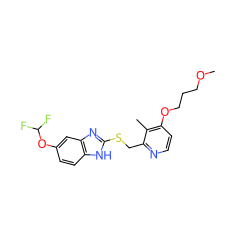 COCCCOc1ccnc(CSc2nc3cc(OC(F)F)ccc3[nH]2)c1C